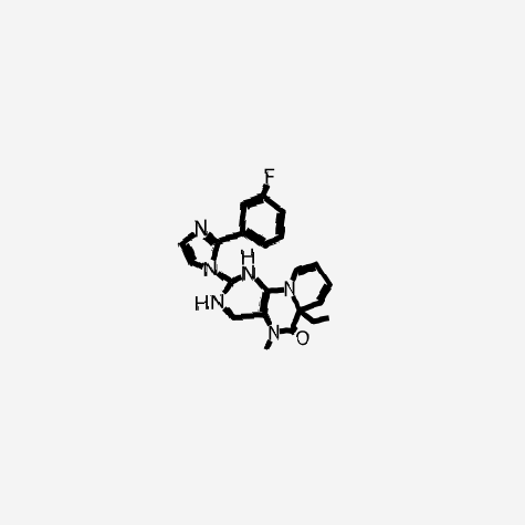 CCC12C=CC=CN1C1=C(CNC(n3ccnc3-c3cccc(F)c3)N1)N(C)C2=O